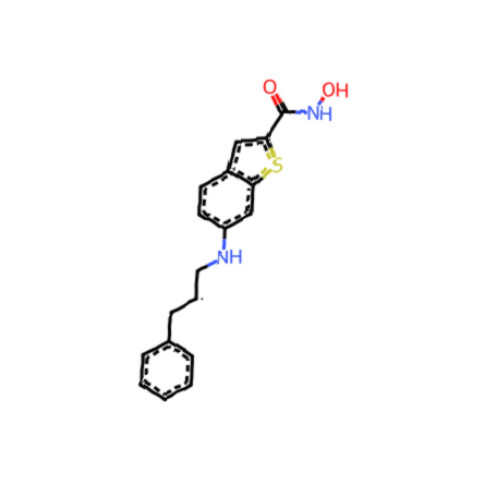 O=C(NO)c1cc2ccc(NC[CH]Cc3ccccc3)cc2s1